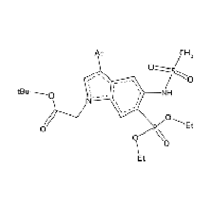 CCOP(=O)(OCC)c1cc2c(cc1NS(C)(=O)=O)c(C(C)=O)cn2CC(=O)OC(C)(C)C